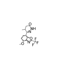 COc1ccc(C2=NNC(=O)CC2C)c2oc(C(F)(F)F)nc12